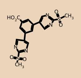 CS(=O)(=O)c1ncc(-c2cc(C(=O)O)cc(-c3cnc(S(C)(=O)=O)nc3)c2)cn1